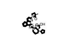 C[C@@H]1CCN(c2ccc(-c3ccccc3-c3csc(N4CC=CC[C@H](C5CCCC5)[C@H](CC(=O)O)C4=O)n3)cn2)C1=O